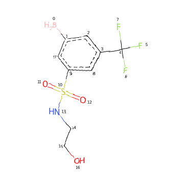 Bc1cc(C(F)(F)F)cc(S(=O)(=O)NCCO)c1